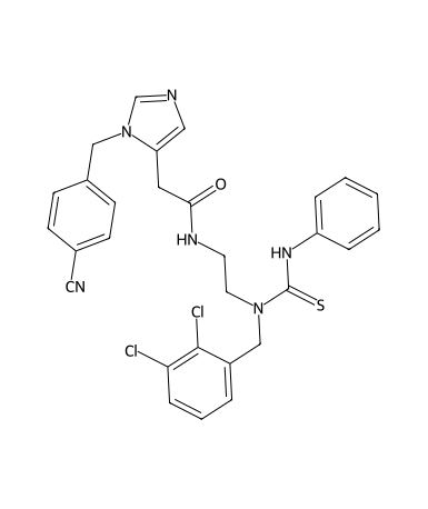 N#Cc1ccc(Cn2cncc2CC(=O)NCCN(Cc2cccc(Cl)c2Cl)C(=S)Nc2ccccc2)cc1